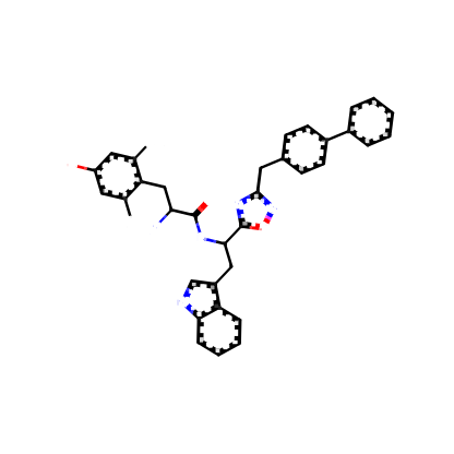 Cc1cc(O)cc(C)c1CC(N)C(=O)NC(Cc1c[nH]c2ccccc12)c1nc(Cc2ccc(-c3ccccc3)cc2)no1